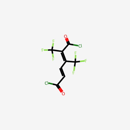 O=C(Cl)C=CC(=C(C(=O)Cl)C(F)(F)F)C(F)(F)F